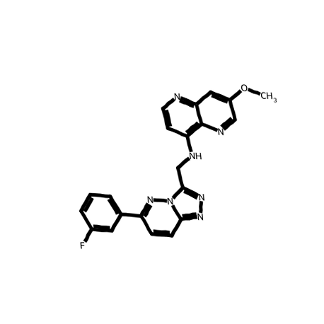 COc1cnc2c(NCc3nnc4ccc(-c5cccc(F)c5)nn34)ccnc2c1